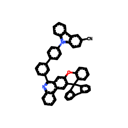 N#Cc1ccc2c(c1)c1ccccc1n2-c1ccc(-c2cccc(-c3nc4ccccc4c4cc5c(cc34)Oc3ccccc3C53c4ccccc4-c4ccccc43)c2)cc1